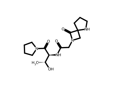 C[C@@H](O)[C@H](NC(=O)CN1CC2(CCCN2)C1=O)C(=O)N1CCCC1